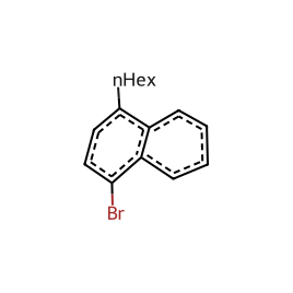 CCCCCCc1ccc(Br)c2ccccc12